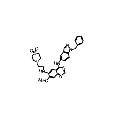 COc1cc2ncnc(Nc3ccc4c(cnn4Cc4ccccc4)c3)c2cc1NCCN1CCS(=O)(=O)CC1